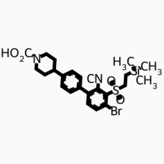 C[Si](C)(C)CCS(=O)(=O)c1c(Br)ccc(-c2ccc(C3CCN(C(=O)O)CC3)cc2)c1C#N